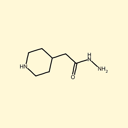 NNC(=O)CC1CCNCC1